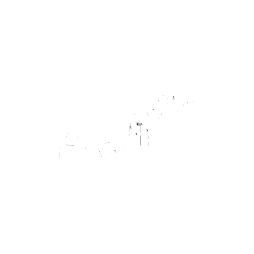 COc1ccc(NC(=O)N2CCC(Oc3ccc(OCc4cccc(F)c4)cc3)CC2)cc1